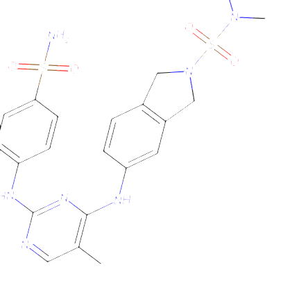 Cc1cnc(Nc2ccc(S(N)(=O)=O)cc2)nc1Nc1ccc2c(c1)CN(S(=O)(=O)N(C)C)C2